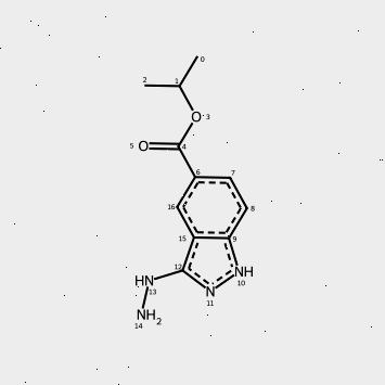 CC(C)OC(=O)c1ccc2[nH]nc(NN)c2c1